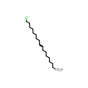 O=C(O)CCCCCCCC=CCCCCCCCCCl